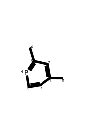 Cc1ccpc(C)c1